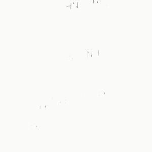 COCOC(=O)c1ccccc1-c1cc2c(cc1C(=O)Nc1ccc(C(=N)N)cc1)OC(C)(C)C2